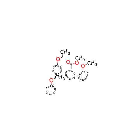 CCOc1ccccc1.COC(=O)c1ccccc1.COc1ccccc1.COc1ccccc1